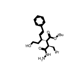 CC(C)C[C@@H](C(=O)NN)[C@@H](C(=O)OC(C)(C)C)C(/C=C/c1ccccc1)CCO